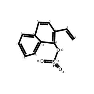 C=Cc1ccc2ccccc2c1O[SH](=O)=O